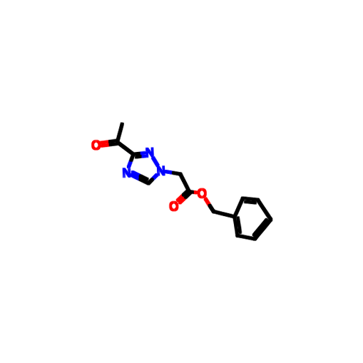 CC(=O)c1ncn(CC(=O)OCc2ccccc2)n1